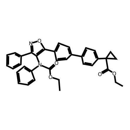 CCOC(=O)N(c1ccccc1)c1c(-c2ccccc2)noc1-c1ccc(-c2ccc(C3(C(=O)OCC)CC3)cc2)cc1